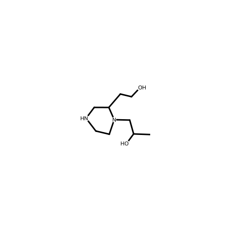 CC(O)CN1CCNCC1CCO